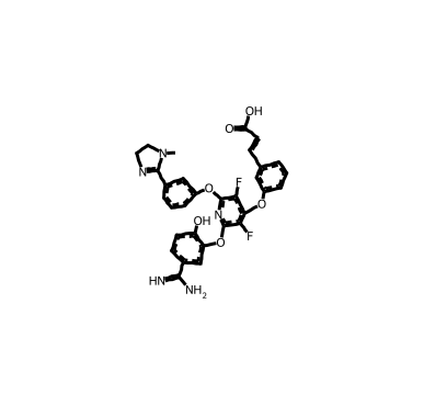 CN1CCN=C1c1cccc(Oc2nc(Oc3cc(C(=N)N)ccc3O)c(F)c(Oc3cccc(C=CC(=O)O)c3)c2F)c1